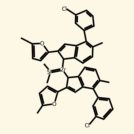 Cc1ccc(C2=Cc3c(ccc(C)c3-c3cccc(Cl)c3)[CH]2[Zr]([CH]2C(c3ccc(C)o3)=Cc3c2ccc(C)c3-c2cccc(Cl)c2)=[Si](C)C)o1